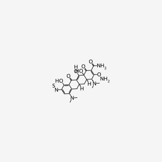 CN(C)c1cc(N=S)c(O)c2c1C[C@H]1C[C@H]3[C@H](N(C)C)C(ON)=C(C(N)=O)C(=O)[C@@]3(O)C(O)=C1C2=O